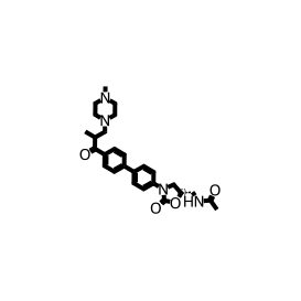 CC(=O)NC[C@H]1CN(c2ccc(-c3ccc(C(=O)C(C)CN4CCN(C)CC4)cc3)cc2)C(=O)O1